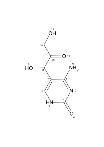 Nc1nc(=O)[nH]cc1C(O)C(=O)CO